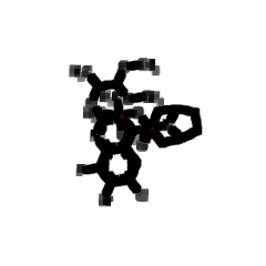 COC(OC)C(C)Oc1nc(N2CC3CCC(C2)N3C(=O)OC(C)(C)C)c2cc(Cl)c(Br)c(F)c2n1